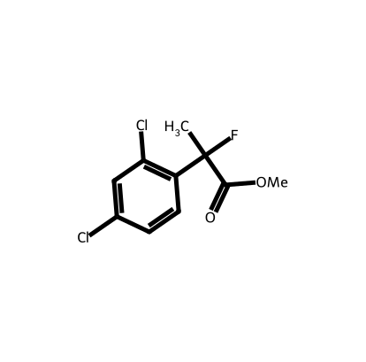 COC(=O)C(C)(F)c1ccc(Cl)cc1Cl